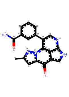 Cc1cc2c(=O)c3c[nH]c4ncc(-c5cccc(C(N)=O)c5)c(c43)n2n1